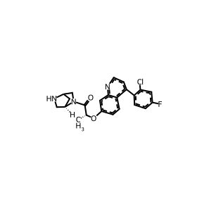 C[C@@H](Oc1ccc2c(-c3ccc(F)cc3Cl)ccnc2c1)C(=O)N1CC2C[C@@H]1CN2